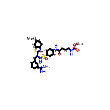 COc1ccc2nc(C(Cc3cccc(C(=N)N)c3)NS(=O)(=O)c3ccc(NC(=O)CCCNC(=O)OC(C)(C)C)cc3)sc2c1